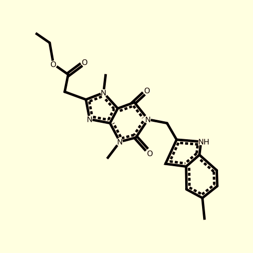 CCOC(=O)Cc1nc2c(c(=O)n(Cc3cc4cc(C)ccc4[nH]3)c(=O)n2C)n1C